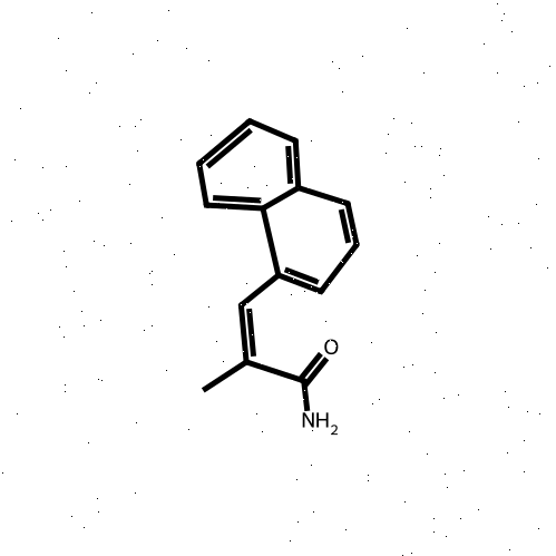 CC(=Cc1cccc2ccccc12)C(N)=O